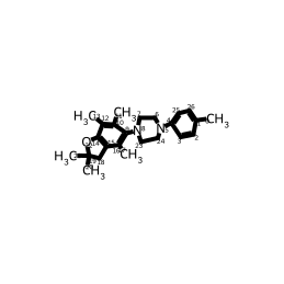 Cc1ccc(N2CCN(c3c(C)c(C)c4c(c3C)CC(C)(C)O4)CC2)cc1